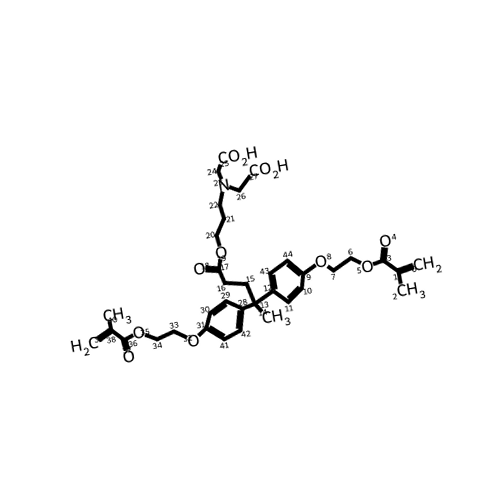 C=C(C)C(=O)OCCOc1ccc(C(C)(CCC(=O)OCCCN(CC(=O)O)CC(=O)O)c2ccc(OCCOC(=O)C(=C)C)cc2)cc1